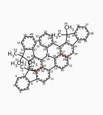 CC1(C)c2ccccc2-c2ccc(-c3ccccc3N(c3ccccc3-c3cccc4c3C(C)(C)c3ccccc3-4)c3cccc4c3-c3ccccc3C4(C)C)cc21